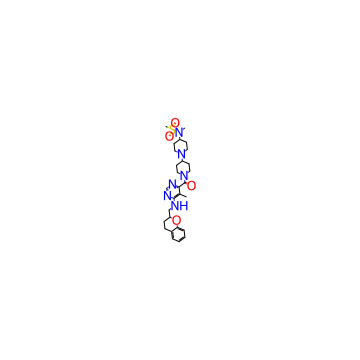 Cc1c(NCC2CCc3ccccc3O2)ncnc1C(=O)N1CCC(N2CCC(N(C)S(C)(=O)=O)CC2)CC1